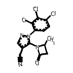 CC1CC(=O)N1c1c(C#N)cnn1-c1ccc(Cl)c(Cl)c1Cl